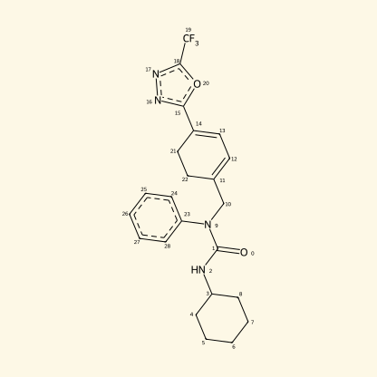 O=C(NC1CCCCC1)N(CC1=CC=C(c2nnc(C(F)(F)F)o2)CC1)c1ccccc1